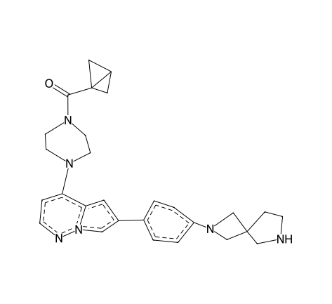 O=C(N1CCN(c2ccnn3cc(-c4ccc(N5CC6(CCNC6)C5)cc4)cc23)CC1)C12CC1C2